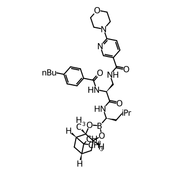 CCCCc1ccc(C(=O)N[C@@H](CNC(=O)c2ccc(N3CCOCC3)nc2)C(=O)N[C@@H](CC(C)C)B2O[C@@H]3C[C@@H]4C[C@@H](C4(C)C)[C@]3(C)O2)cc1